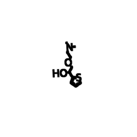 CN(C)CCOCC(O)c1cccs1